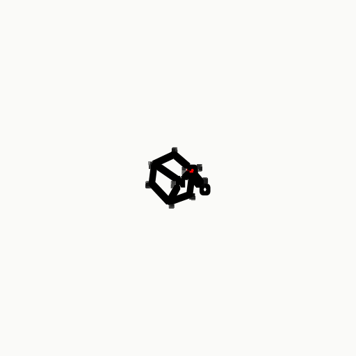 O=CN1C2COCC1C2